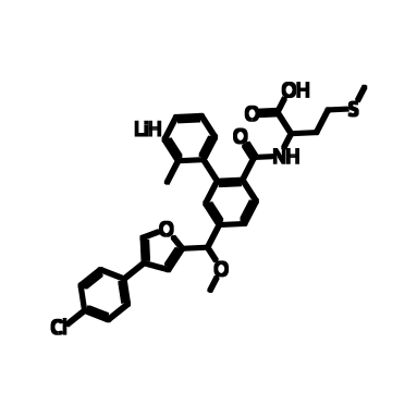 COC(c1ccc(C(=O)NC(CCSC)C(=O)O)c(-c2ccccc2C)c1)c1cc(-c2ccc(Cl)cc2)co1.[LiH]